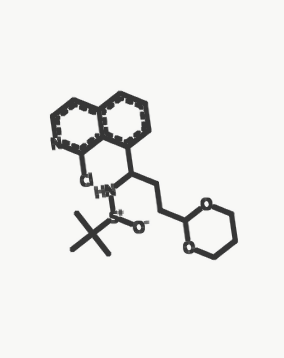 CC(C)(C)[S+]([O-])NC(CCC1OCCCO1)c1cccc2ccnc(Cl)c12